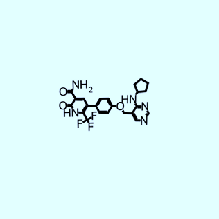 NC(=O)c1cc(-c2ccc(OCc3cncnc3NC3CCCC3)cc2)c(C(F)(F)F)[nH]c1=O